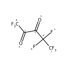 O=C(C(=O)C(F)(F)C(F)(F)F)C(F)(F)F